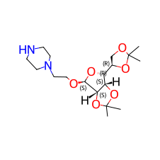 CC1(C)O[C@@H]2[C@H](O1)[C@@H](OCCN1CCNCC1)O[C@@H]2[C@H]1COC(C)(C)O1